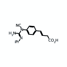 CC(C)N=C(N)N(C#N)c1ccc(/C=C/CC(=O)O)cc1